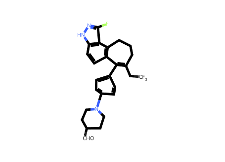 O=CC1CCN(c2ccc(C3=C(CC(F)(F)F)CCCc4c3ccc3[nH]nc(F)c43)cc2)CC1